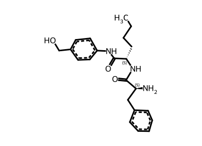 CCCC[C@H](NC(=O)[C@@H](N)Cc1ccccc1)C(=O)Nc1ccc(CO)cc1